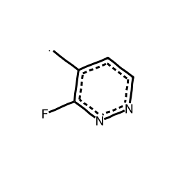 [CH2]c1ccnnc1F